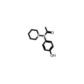 CC(=O)N(c1ccc(O)cc1)N1CCCCC1